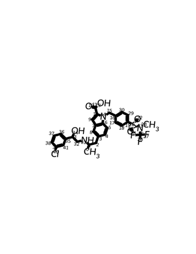 CC(Cc1ccc2c(c1)cc(C(=O)O)n2Cc1ccc(S(=O)(=O)N(C)C(F)(F)F)cc1)NCC(O)c1cccc(Cl)c1